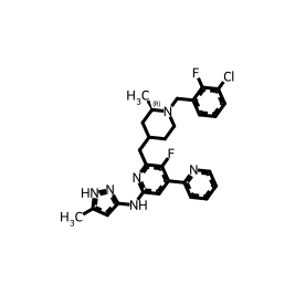 Cc1cc(Nc2cc(-c3ccccn3)c(F)c(CC3CCN(Cc4cccc(Cl)c4F)[C@H](C)C3)n2)n[nH]1